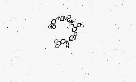 O=C(CNCCc1ccc(Oc2ccc(Nc3ccc(Cl)c(Cl)c3)cn2)cc1C(F)(F)F)N1CCN(Cc2ccc3c(c2)OCO3)CC1